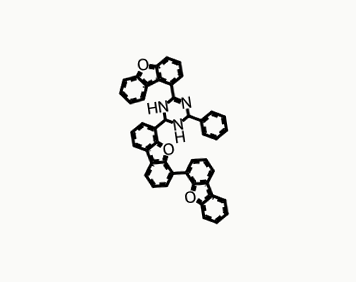 c1ccc(C2N=C(c3cccc4oc5ccccc5c34)NC(c3cccc4c3oc3c(-c5cccc6c5oc5ccccc56)cccc34)N2)cc1